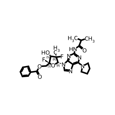 CC(C)C(=O)Nc1nc(N2CCCC2)c2ncn([C@@H]3O[C@](F)(COC(=O)c4ccccc4)[C@@H](O)[C@@]3(C)F)c2n1